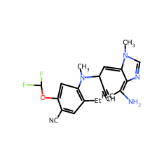 C#CC(/C=c1\c(=C(/C)N)ncn1C)N(C)c1cc(OC(F)F)c(C#N)cc1CC